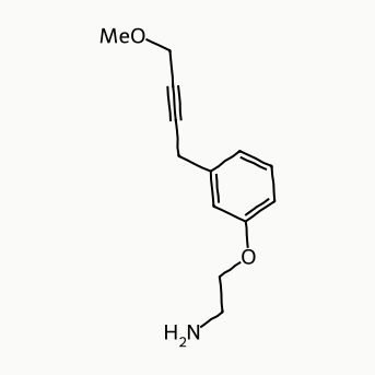 COCC#CCc1cccc(OCCN)c1